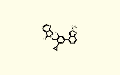 Cn1cc2c(-c3cc(Cl)c(CN4Cc5ncccc5C4=O)c(C4CC4)c3)cccc2n1